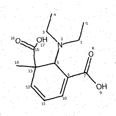 CCN(CC)C1C(C(=O)O)=CC=CC1(C)C(=O)O